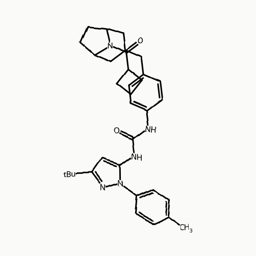 Cc1ccc(-n2nc(C(C)(C)C)cc2NC(=O)Nc2ccc(CC3CC4CCC(C3)N4C(=O)C3CCC3)cc2)cc1